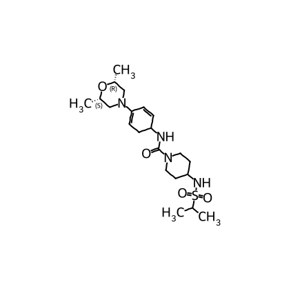 CC(C)S(=O)(=O)NC1CCN(C(=O)NC2C=CC(N3C[C@@H](C)O[C@@H](C)C3)=CC2)CC1